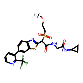 COCCS(=O)(=O)C(C(=O)NCC(=O)NC1CC1)c1nc2ccc(-c3cccnc3C(F)(F)F)cc2s1